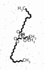 CCCCC/C=C\C/C=C\CCCCCCCCOC(=O)[C@@H](CNC(=O)CCCCCCC/C=C\C/C=C\CCCCC)CNC(=O)CN(C)C